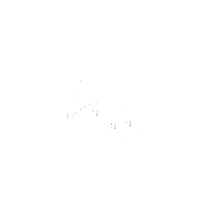 Cc1ccc(S(=O)(=O)n2c(CO)cc3nc(-n4c(C)ccc4C)c(C)cc32)cc1